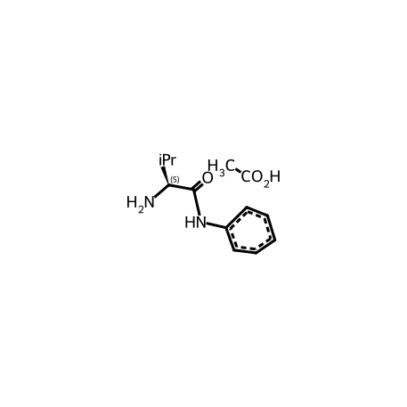 CC(=O)O.CC(C)[C@H](N)C(=O)Nc1ccccc1